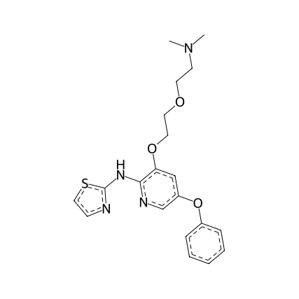 CN(C)CCOCCOc1cc(Oc2ccccc2)cnc1Nc1nccs1